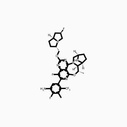 Cc1c(F)c(N)cc(-c2nc3c4c(nc(OC[C@@H]5CC[C@H]6C[C@@H](F)CN56)nc4c2F)N2C[C@H]4CC[C@H](N4)[C@H]2[C@H](C)O3)c1C(F)(F)F